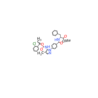 COC(=O)C(Cc1ccccc1)NC(=O)c1ccc(-n2ncc(C)c2NC(=O)O[C@H](C)c2ccccc2Cl)cc1